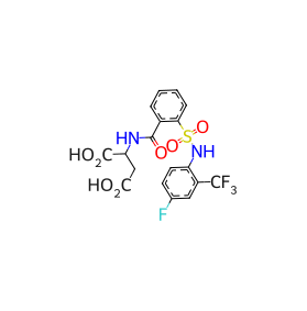 O=C(O)CC(NC(=O)c1ccccc1S(=O)(=O)Nc1ccc(F)cc1C(F)(F)F)C(=O)O